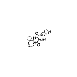 O=C(NCc1ccc(F)cc1)c1nc2n(c(=O)c1O)CCOCC21CCCC1